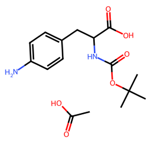 CC(=O)O.CC(C)(C)OC(=O)NC(Cc1ccc(N)cc1)C(=O)O